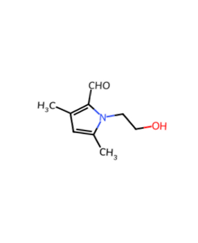 Cc1cc(C)n(CCO)c1C=O